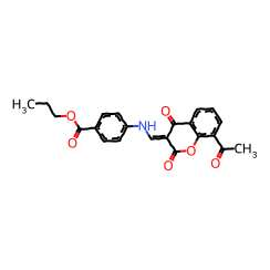 CCCOC(=O)c1ccc(NC=C2C(=O)Oc3c(C(C)=O)cccc3C2=O)cc1